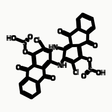 O=c1c2ccccc2c(=O)c2c1c(OS(=O)O)c(Cl)c1[nH]c3c([nH]c12)c(Cl)c(OS(=O)O)c1c(=O)c2ccccc2c(=O)c13